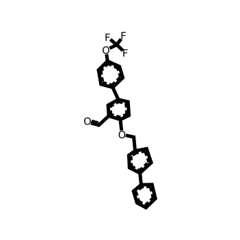 O=Cc1cc(-c2ccc(OC(F)(F)F)cc2)ccc1OCc1ccc(-c2ccccc2)cc1